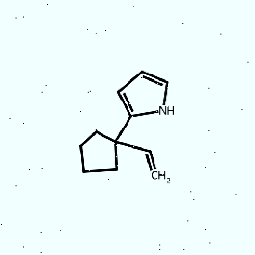 C=CC1(c2ccc[nH]2)CCCC1